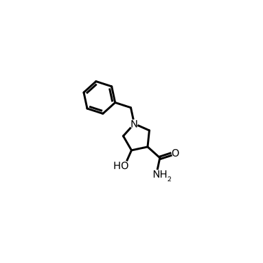 NC(=O)C1CN(Cc2ccccc2)CC1O